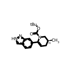 C[C@H]1CC=C(c2ccc3c[nH]nc3c2)N(C(=O)OC(C)(C)C)C1